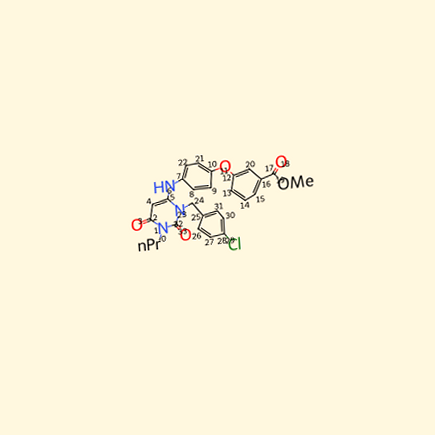 CCCn1c(=O)cc(Nc2ccc(Oc3cccc(C(=O)OC)c3)cc2)n(Cc2ccc(Cl)cc2)c1=O